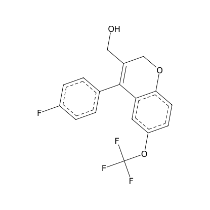 OCC1=C(c2ccc(F)cc2)c2cc(OC(F)(F)F)ccc2OC1